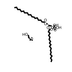 CCCCCCCCCCCCCCCCCC(=O)OC[C@H](COP(=O)(O)O)OC(=O)CCCCCCCCCCCCCCCCC.C[N+](C)(C)CCO